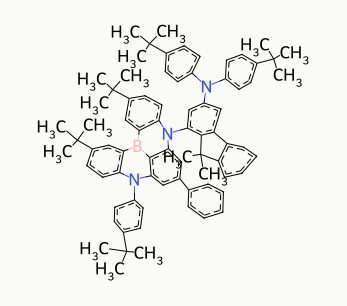 CC(C)(C)c1ccc(N(c2ccc(C(C)(C)C)cc2)c2cc3c(c(N4c5ccc(C(C)(C)C)cc5B5c6cc(C(C)(C)C)ccc6N(c6ccc(C(C)(C)C)cc6)c6cc(-c7ccccc7)cc4c65)c2)C(C)(C)c2ccccc2-3)cc1